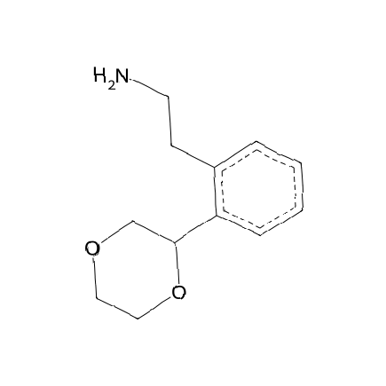 NCCc1ccccc1C1COCCO1